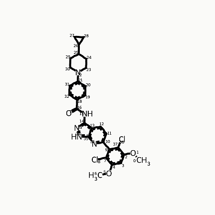 COc1cc(OC)c(Cl)c(-c2ccc3c(NC(=O)c4ccc(N5CCC(C6CC6)CC5)cc4)n[nH]c3n2)c1Cl